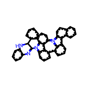 c1ccc(C2Nc3ccccc3N=C2n2c3cccc4c5cccc6c7c8ccccc8ccc7n(c7cccc2c7c43)c56)cc1